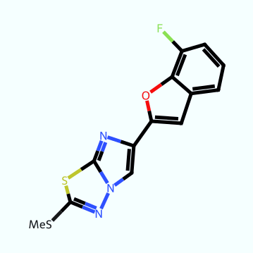 CSc1nn2cc(-c3cc4cccc(F)c4o3)nc2s1